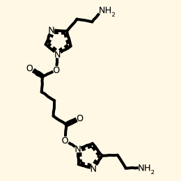 NCCc1cn(OC(=O)CCCC(=O)On2cnc(CCN)c2)cn1